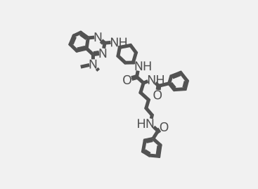 CN(C)c1nc(N[C@H]2CC[C@@H](NC(=O)C(CCCCNC(=O)c3ccccc3)NC(=O)c3ccccc3)CC2)nc2ccccc12